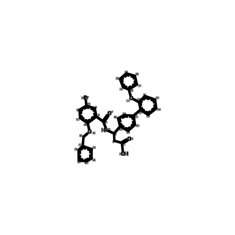 O=C(O)CC(NC(=O)c1cc(Br)ccc1OCc1ccccc1)c1ccc(-c2ccccc2Oc2ccccc2)cc1